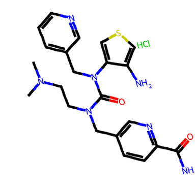 CN(C)CCN(Cc1ccc(C(N)=O)nc1)C(=O)N(Cc1cccnc1)c1cscc1N.Cl